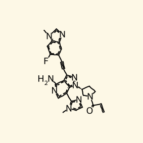 C=CC(=O)N1CC[C@H](n2nc(C#Cc3cc4ncn(C)c4cc3F)c3c(N)ncc(-c4nccn4C)c32)C1